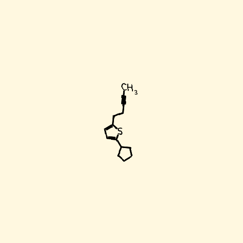 CC#CCCc1ccc(C2CCCC2)s1